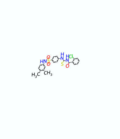 Cc1ccc(NS(=O)(=O)c2ccc(NC(=S)NC(=O)c3ccccc3Cl)cc2)cc1C